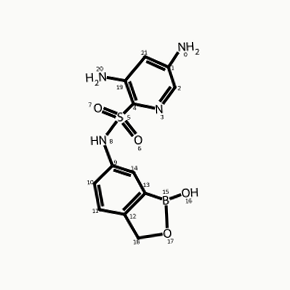 Nc1cnc(S(=O)(=O)Nc2ccc3c(c2)B(O)OC3)c(N)c1